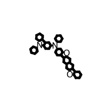 c1ccc(N(c2ccc3c(c2)oc2cc4cc5c(cc4cc23)oc2ccccc25)c2ccc3c(c2)c2ccccc2n3-c2ccccc2)cc1